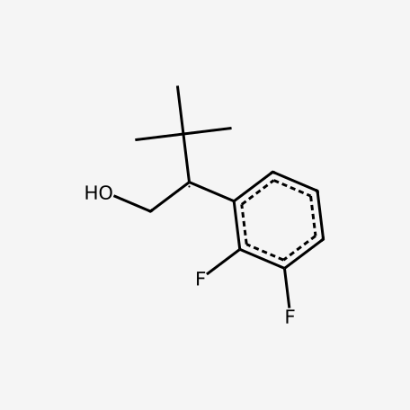 CC(C)(C)[C](CO)c1cccc(F)c1F